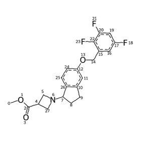 COC(=O)C1CN(C2CCc3cc(OCc4cc(F)cc(F)c4F)ccc32)C1